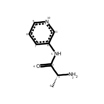 C[C@@H](N)C(=O)Nc1cccnc1